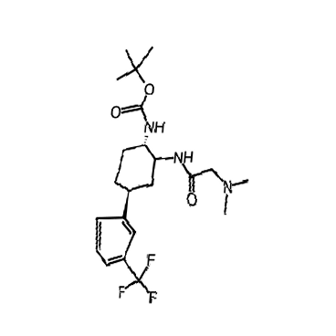 CN(C)CC(=O)NC1C[C@@H](c2cccc(C(F)(F)F)c2)CC[C@@H]1NC(=O)OC(C)(C)C